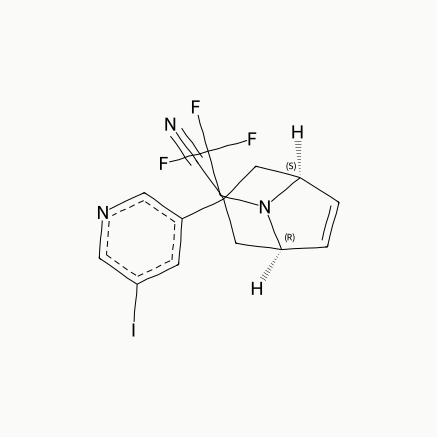 N#CC1(c2cncc(I)c2)C[C@H]2C=C[C@@H](C1)N2CC(F)(F)F